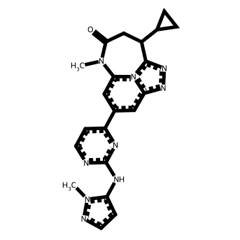 CN1C(=O)CC(C2CC2)c2nnc3cc(-c4ccnc(Nc5ccnn5C)n4)cc1n23